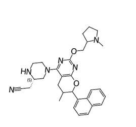 CC1Cc2c(nc(OCC3CCCN3C)nc2N2CCN[C@@H](CC#N)C2)OC1c1cccc2ccccc12